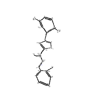 CCc1ccc(Cl)c(-c2csc(N(C)/N=C/c3ccccc3C)n2)c1